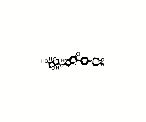 O=S1(=O)CCN(c2ccc(-c3nc4cc(O[C@@H]5CO[C@H]6[C@@H]5OC[C@H]6O)[nH]c4cc3Cl)cc2)CC1